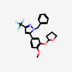 COc1ccc(-c2cc(C(F)(F)F)nn2Cc2ccccc2)cc1OC1CCCO1